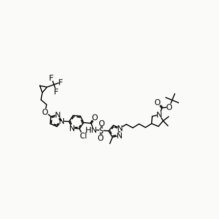 Cc1nn(CCCCC2CN(C(=O)OC(C)(C)C)C(C)(C)C2)cc1S(=O)(=O)NC(=O)c1ccc(-n2ccc(OCCC3CC3C(F)(F)F)n2)nc1Cl